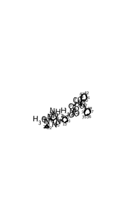 C[C@@H](C(=O)OP(N)(=O)OC[C@@H]1C=C[C@H](n2cnc3c(N(C)C4CC4)nc(N)nc32)C1)N(OCc1ccccc1)c1ccccc1